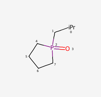 CC(C)CP1(=O)CCCC1